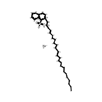 CCCCCCCCCCCCCCCCCCCCCCCCc1ccc2ccccc2c1S(=O)(=O)[O-].[Na+]